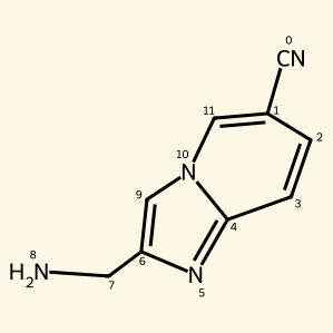 N#Cc1ccc2nc(CN)cn2c1